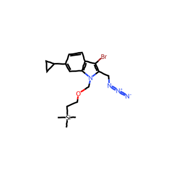 C[Si](C)(C)CCOCn1c(CN=[N+]=[N-])c(Br)c2ccc(C3CC3)cc21